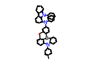 Cc1ccc(N2c3ccccc3B(c3ccc(N(c4ccccc4)c4cccc5c6ccccc6n(-c6ccccc6)c45)cc3C)c3c(C)cccc32)cc1